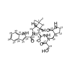 CC1(C)C[C@@H]2[C@@H](C(=O)N[C@@H](C[C@@H]3CCNC3=O)C(=O)CO)N(C(=O)c3cc4ccccc4[nH]3)C[C@@H]21